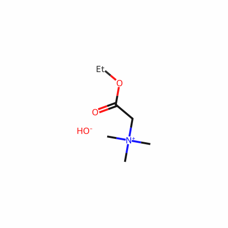 CCOC(=O)C[N+](C)(C)C.[OH-]